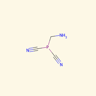 N#CP(C#N)CN